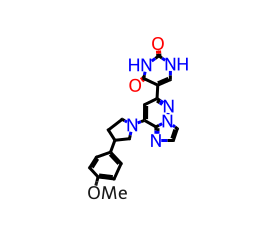 COc1ccc(C2CCN(c3cc(-c4c[nH]c(=O)[nH]c4=O)nn4ccnc34)C2)cc1